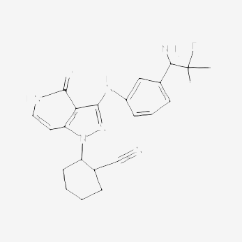 N#CC1CCCCC1n1nc(Nc2cccc(C(N)C(F)(F)F)c2)c2c(=O)[nH]ccc21